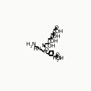 CC(=O)O.CC(=O)O.CC(=O)O.CC(=O)O.CC(=O)O.N#CON(CCNCCN)Cc1ccccc1.S